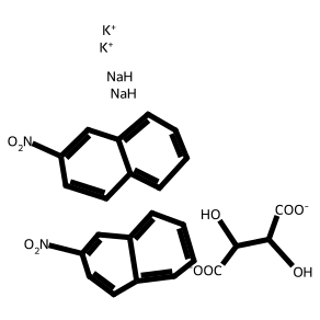 O=C([O-])C(O)C(O)C(=O)[O-].O=[N+]([O-])c1ccc2ccccc2c1.O=[N+]([O-])c1ccc2ccccc2c1.[K+].[K+].[NaH].[NaH]